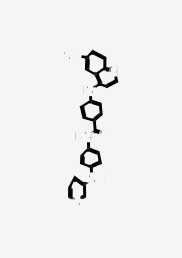 N#Cc1ccc2nccc(Nc3ccc(C(=O)Nc4ccc(Nc5cccnc5)cc4)cc3)c2c1